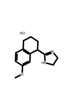 COc1ccc2c(c1)C(C1=NCCN1)CCC2.Cl